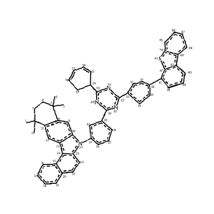 CC1(C)CCC(C)(C)c2cc3c(cc21)c1c2ccccc2ccc1n3-c1cccc(-c2nc(-c3ccc(-c4cccc5c4sc4ccccc45)cc3)nc(C3C=CC=CC3)n2)c1